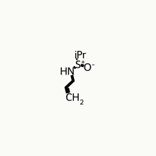 C=CCN[S@@+]([O-])C(C)C